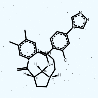 C=C1c2cc(C)c(C)cc2NCC[C@@H]2CC[C@H]1[C@@H]2NC(=O)c1ccc(-n2cnnc2)cc1Cl